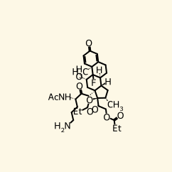 CCC(=O)OCC(=O)[C@@]1(OC(=O)CC)[C@@H](C)C[C@H]2[C@@H]3CCC4=CC(=O)C=C[C@]4(C)C3(F)[C@@H](O)C[C@@]21CC(=O)[C@H](CCCN)NC(C)=O